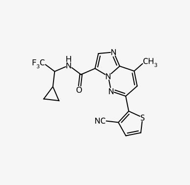 Cc1cc(-c2sccc2C#N)nn2c(C(=O)NC(C3CC3)C(F)(F)F)cnc12